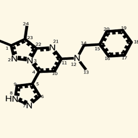 Cc1nn2c(-c3cn[nH]c3)cc(N(C)Cc3ccccc3)nc2c1C